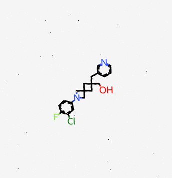 OCC1(Cc2cccnc2)CC2(CN(c3ccc(F)c(Cl)c3)C2)C1